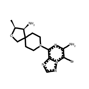 C[C@@H]1OCC2(CCN(c3nc(N)c(Br)n4ncnc34)CC2)[C@@H]1N